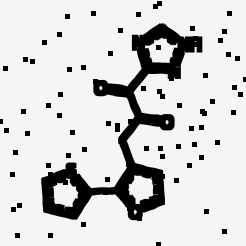 O=C(Cc1ccoc1-c1cccs1)C(=O)c1nc[nH]n1